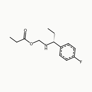 CCC(=O)OCN[C@H](CC)c1ccc(F)cc1